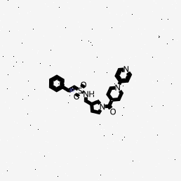 O=C(C1CCN(c2ccncc2)CC1)N1CCC(CNS(=O)(=O)/C=C/c2ccccc2)C1